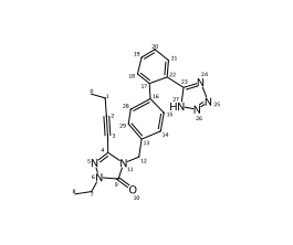 CCC#Cc1nn(CC)c(=O)n1Cc1ccc(-c2ccccc2-c2nnn[nH]2)cc1